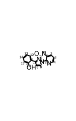 O=[N+]([O-])c1cccnc1-n1ccc(-c2ccccc2O)n1